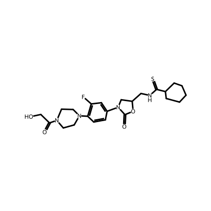 O=C(CO)N1CCN(c2ccc(N3CC(CNC(=S)C4CCCCC4)OC3=O)cc2F)CC1